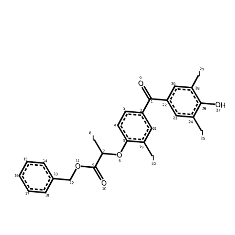 O=C(c1ccc(OC(I)C(=O)OCc2ccccc2)c(I)c1)c1cc(I)c(O)c(I)c1